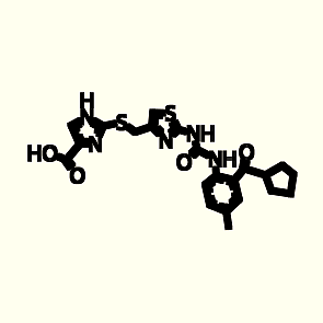 Cc1ccc(NC(=O)Nc2nc(CSc3nc(C(=O)O)c[nH]3)cs2)c(C(=O)C2CCCC2)c1